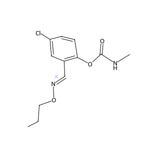 CCCO/N=C/c1cc(Cl)ccc1OC(=O)NC